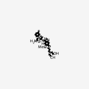 C#CCN(CCO)CCCOc1cc2ncnc(NC3=C[N+](CC(N)=O)(c4cccc(F)c4)N=C3)c2cc1OC